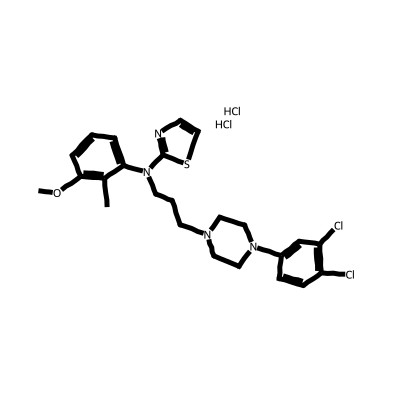 COc1cccc(N(CCCN2CCN(c3ccc(Cl)c(Cl)c3)CC2)c2nccs2)c1C.Cl.Cl